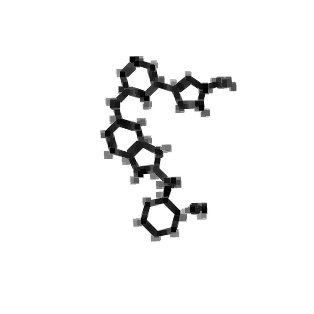 Cn1cc(-c2cncc(Oc3ccc4nc(N[C@@H]5CCCC[C@H]5O)sc4c3)n2)cn1